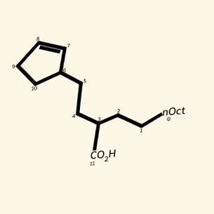 CCCCCCCCCCC(CCC1C=CCC1)C(=O)O